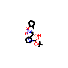 CC(C)(C)OC(=O)N1C2CCC(CC2)C1[C@@H](O)[C@@H](Cc1ccccc1)[N+](=O)[O-]